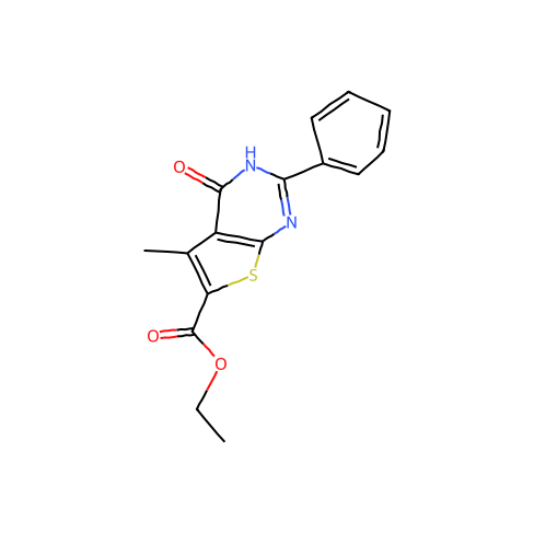 CCOC(=O)c1sc2nc(-c3ccccc3)[nH]c(=O)c2c1C